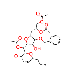 C=CCC1C=CC(=O)C([C@@H](OC(C)=O)C2OC(C[C@H](COC(C)=O)OC(C)=O)C(OCc3ccccc3)[C@H]2O)O1